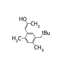 C/C(O)=C\c1cc(CC(C)(C)C)c(C)cc1C